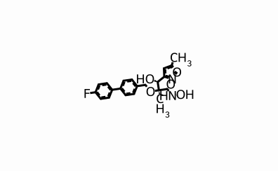 Cc1cc([C@H](O)[C@](C)(OCc2ccc(-c3ccc(F)cc3)cc2)C(=O)NO)no1